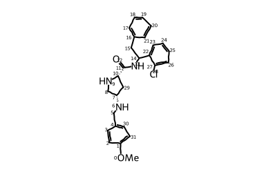 COc1ccc(CN[C@@H]2CN[C@H](C(=O)NC(Cc3ccccc3)c3ccccc3Cl)C2)cc1